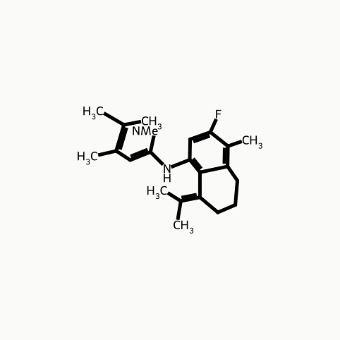 CN/C(=C\C(C)=C(C)C)Nc1cc(F)c(C)c2c1C(=C(C)C)CCC2